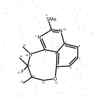 CSc1nc2c3c(cccc3n1)OCC(C)C(C)(F)N2C